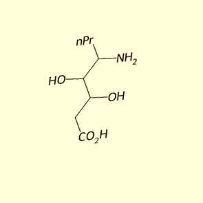 CCCC(N)C(O)C(O)CC(=O)O